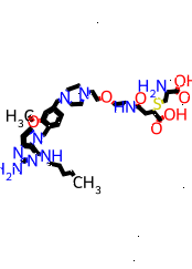 CCCCCNc1nc(N)nc2ccn(Cc3ccc(CN4CCN(CCOCCNC(=O)CC(SCC(N)C(=O)O)C(=O)O)CC4)cc3OC)c12